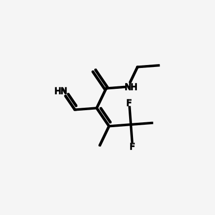 C=C(NCC)/C(C=N)=C(/C)C(C)(F)F